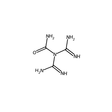 N=C(N)N(C(=N)N)C(N)=O